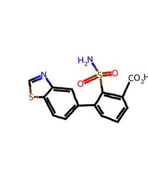 NS(=O)(=O)c1c(C(=O)O)cccc1-c1ccc2scnc2c1